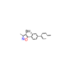 Bc1c(C)noc1-c1ccc(C(/C=C\C=C)=C/C)cc1